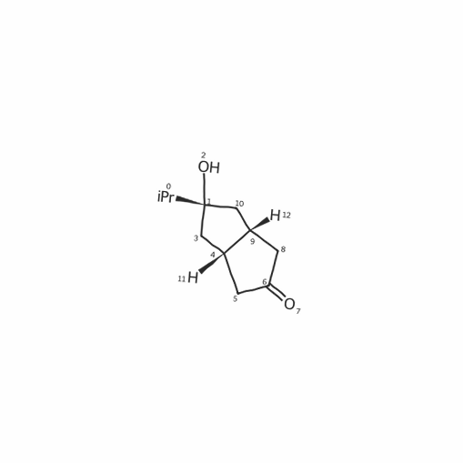 CC(C)[C@]1(O)C[C@H]2CC(=O)C[C@H]2C1